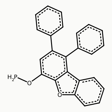 POc1cc(-c2ccccc2)c(-c2ccccc2)c2c1oc1ccccc12